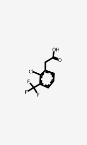 O=C(O)Cc1cccc(C(F)(F)F)c1Cl